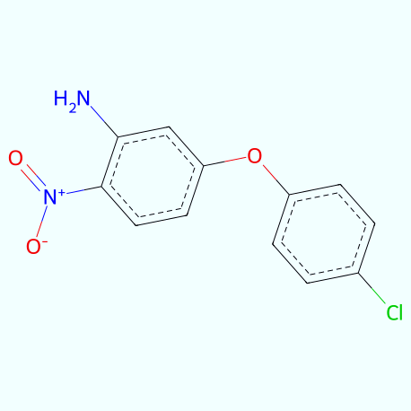 Nc1cc(Oc2ccc(Cl)cc2)ccc1[N+](=O)[O-]